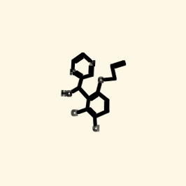 C=CCOc1ccc(Cl)c(Cl)c1C(O)c1cnccn1